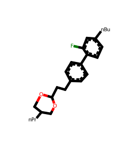 CCCCc1ccc(-c2ccc(CCC3OCC(CCC)CO3)cc2)c(F)c1